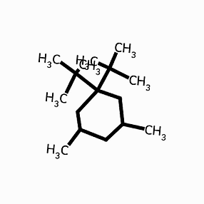 CC1CC(C)CC(C(C)(C)C)(C(C)(C)C)C1